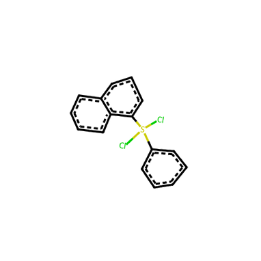 ClS(Cl)(c1ccccc1)c1cccc2ccccc12